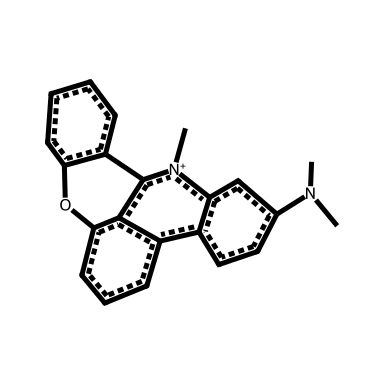 CN(C)c1ccc2c3cccc4c3c([n+](C)c2c1)-c1ccccc1O4